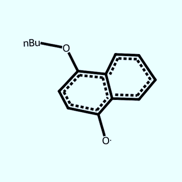 CCCCOc1ccc([O])c2ccccc12